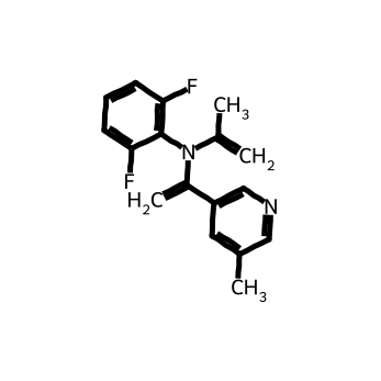 C=C(C)N(C(=C)c1cncc(C)c1)c1c(F)cccc1F